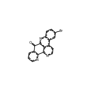 O=C1c2cccnc2-c2nccc3c2c1nc1ccc(Br)cc13